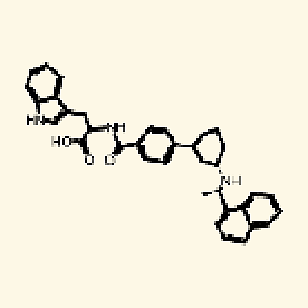 C[C@@H](N[C@H]1CCC[C@H](c2ccc(C(=O)NC(Cc3c[nH]c4ccccc34)C(=O)O)cc2)C1)c1cccc2ccccc12